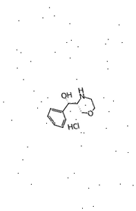 Cl.O[C@@H](c1ccccc1)[C@H]1COCCN1